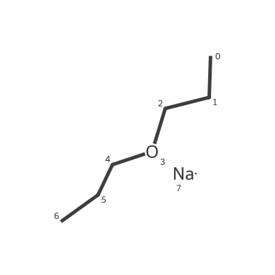 CCCOCCC.[Na]